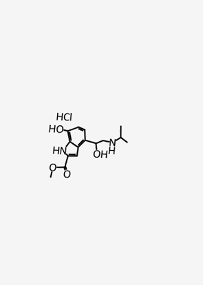 COC(=O)c1cc2c(C(O)CNC(C)C)ccc(O)c2[nH]1.Cl